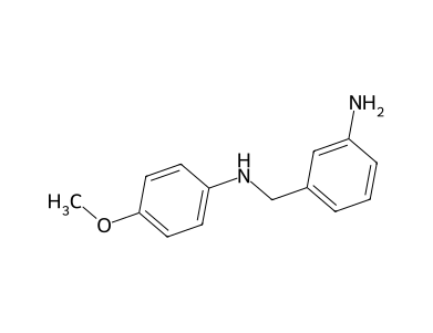 COc1ccc(NCc2cccc(N)c2)cc1